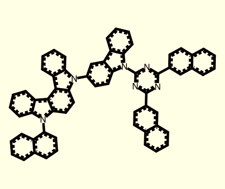 c1ccc2cc(-c3nc(-c4ccc5ccccc5c4)nc(-n4c5ccccc5c5cc(-n6c7ccccc7c7c8c9ccccc9n(-c9cccc%10ccccc9%10)c8ccc76)ccc54)n3)ccc2c1